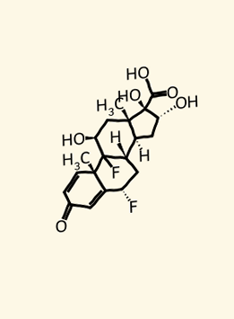 C[C@]12C=CC(=O)C=C1[C@@H](F)C[C@H]1[C@@H]3C[C@@H](O)[C@@](O)(C(=O)O)[C@@]3(C)C[C@H](O)C12F